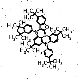 CC(C)(C)c1ccc(N2c3ccc(C(C)(C)C)cc3B3c4oc5ccc(C(C)(C)C)cc5c4N(c4ccc5c(c4)C(C)(C)CC5(C)C)c4cc(C(C)(C)C)cc2c43)cc1